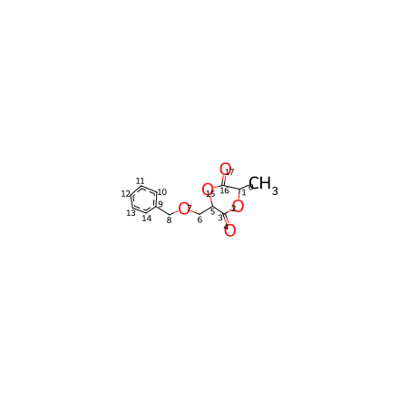 CC1OC(=O)C(COCc2ccccc2)OC1=O